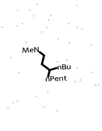 CCCCCC(CCCC)CCNC